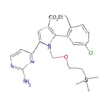 CCOC(=O)c1cc(-c2ccnc(N)n2)n(COCC[Si](C)(C)C)c1-c1cc(Cl)ccc1C